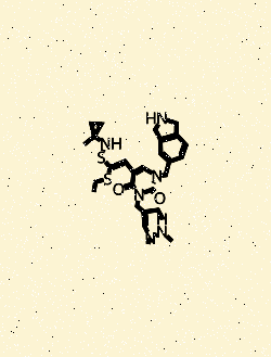 CCS/C(=C\C(=C\N(C)Cc1ccc2c(c1)CNC2)C(=O)N(C=O)C/C(=C/N(C)NC)CC)SNC1(C)CC1